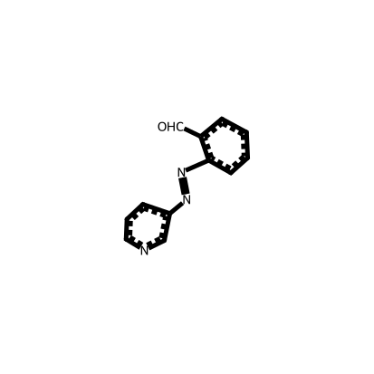 O=Cc1ccccc1N=Nc1cccnc1